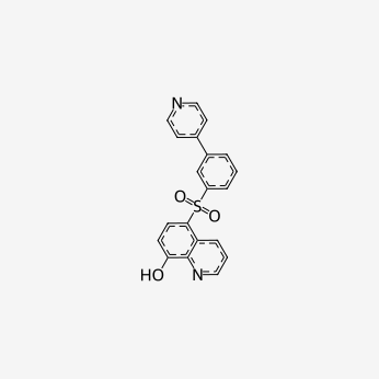 O=S(=O)(c1cccc(-c2ccncc2)c1)c1ccc(O)c2ncccc12